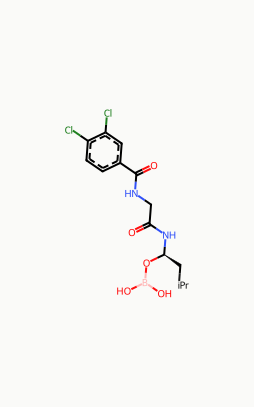 CC(C)C[C@H](NC(=O)CNC(=O)c1ccc(Cl)c(Cl)c1)OB(O)O